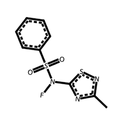 Cc1nsc(N(F)S(=O)(=O)c2ccccc2)n1